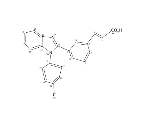 O=C(O)C=Cc1cccc(-c2nc3ccccc3n2-c2ccc(Cl)cc2)c1